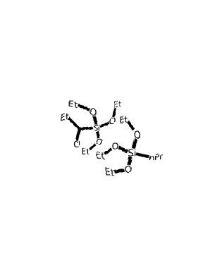 CCC[Si](OCC)(OCC)OCC.CCO[Si](OCC)(OCC)C(Cl)CC